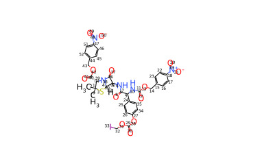 CC1(C)S[C@@H]2[C@H](NC(=O)C(NC(=O)OCc3ccc([N+](=O)[O-])cc3)c3ccc(OC(=O)OCI)cc3)C(=O)N2[C@H]1C(=O)OCc1ccc([N+](=O)[O-])cc1